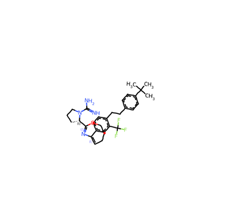 CC(C)(C)c1ccc(CCc2ccc(C3=C\CCCO/C([C@@H]4CCCN4C(=N)N)=N\3)cc2C(F)(F)F)cc1